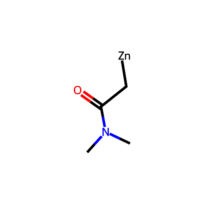 CN(C)C(=O)[CH2][Zn]